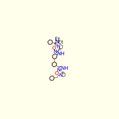 CCN(CC)[C@@H](C(=O)N1CCC[C@H]1c1nc2ccc(-c3cccc(-c4c[nH]c([C@@H]5CCCN5C(=O)Cc5ccccc5)n4)c3)cc2[nH]1)c1ccccc1